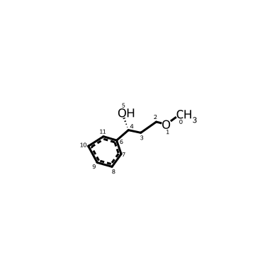 COCC[C@@H](O)c1ccccc1